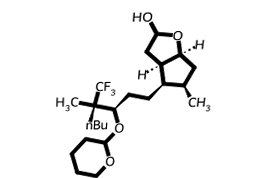 CCCC[C@](C)([C@@H](CC[C@H]1[C@H]2CC(O)O[C@H]2C[C@H]1C)OC1CCCCO1)C(F)(F)F